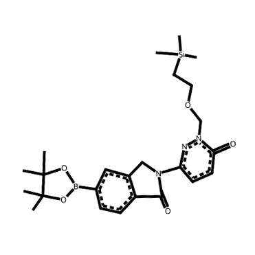 CC1(C)OB(c2ccc3c(c2)CN(c2ccc(=O)n(COCC[Si](C)(C)C)n2)C3=O)OC1(C)C